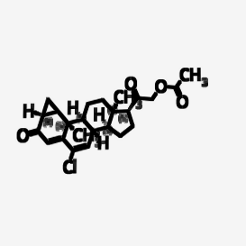 CC(=O)OCC(=O)[C@H]1CC[C@H]2[C@@H]3C=C(Cl)C4=CC(=O)[C@@H]5CC5[C@]4(C)[C@H]3CC[C@]12C